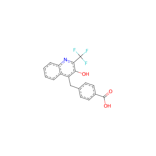 O=C(O)c1ccc(Cc2c(O)c(C(F)(F)F)nc3ccccc23)cc1